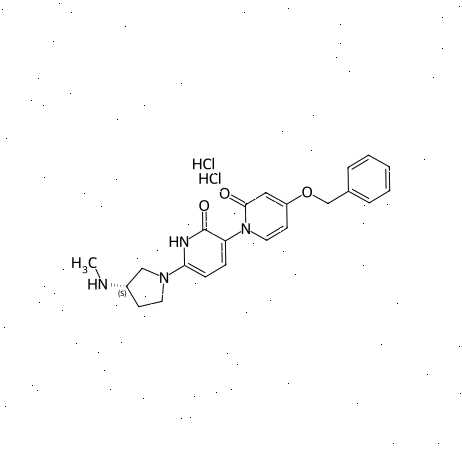 CN[C@H]1CCN(c2ccc(-n3ccc(OCc4ccccc4)cc3=O)c(=O)[nH]2)C1.Cl.Cl